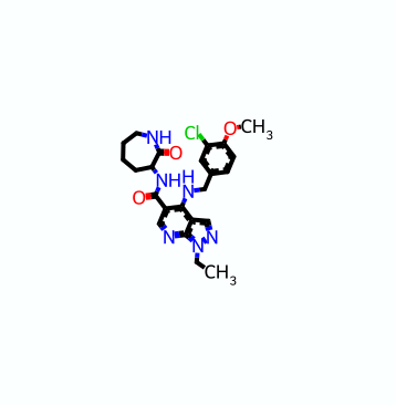 CCn1ncc2c(NCc3ccc(OC)c(Cl)c3)c(C(=O)NC3CCCCNC3=O)cnc21